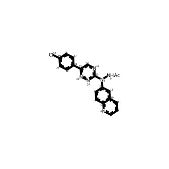 CC(=O)NN(c1ccc2ncccc2c1)c1ncc(-c2ccc(Cl)cc2)nn1